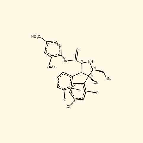 COc1cc(C(=O)O)ccc1NC(=O)[C@@H]1N[C@@H](CC(C)(C)C)[C@](C#N)(c2ccc(Cl)cc2F)C1c1cccc(Cl)c1F